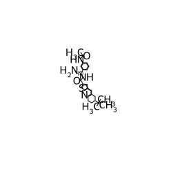 CC(=O)Nc1cccc([C@@H](CN)NC(=O)c2cc3cc4c(nc3s2)CCC(C(C)(C)C)C4)c1